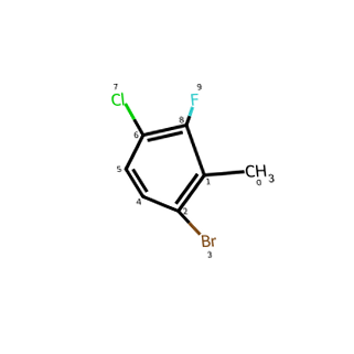 Cc1c(Br)ccc(Cl)c1F